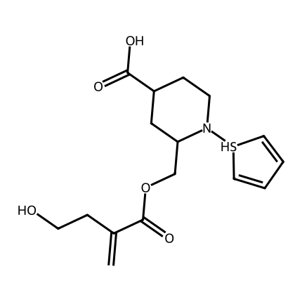 C=C(CCO)C(=O)OCC1CC(C(=O)O)CCN1[SH]1C=CC=C1